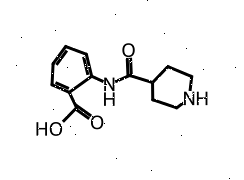 O=C(O)c1ccccc1NC(=O)C1CCNCC1